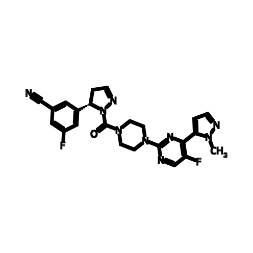 Cn1nccc1-c1nc(N2CCN(C(=O)N3N=CC[C@H]3c3cc(F)cc(C#N)c3)CC2)ncc1F